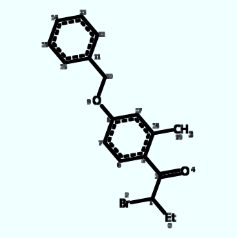 CCC(Br)C(=O)c1ccc(OCc2ccccc2)cc1C